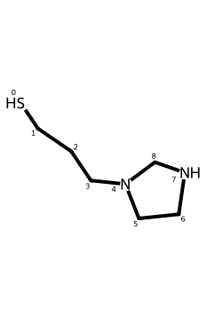 SCCCN1CCNC1